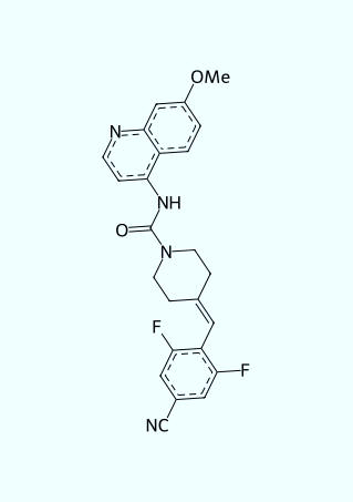 COc1ccc2c(NC(=O)N3CCC(=Cc4c(F)cc(C#N)cc4F)CC3)ccnc2c1